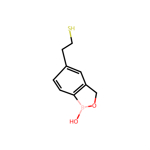 OB1OCc2cc(CCS)ccc21